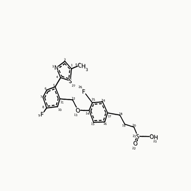 Cc1cnc(-c2ccc(F)cc2COc2ccc(CCCS(=O)O)cc2F)s1